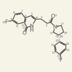 O=C(CCc1cc2ccc(F)cc2c(=O)[nH]1)N1CC[C@H](c2ccc(F)cc2)C1